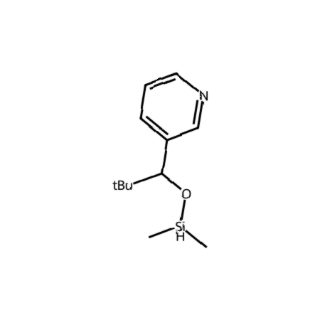 C[SiH](C)OC(c1cccnc1)C(C)(C)C